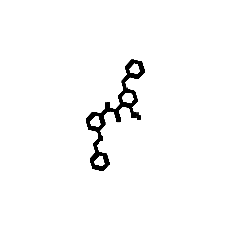 NC1=C(C(=O)Nc2cccc(OCc3ccccc3)c2)CN(Cc2ccccc2)CC1